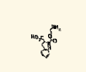 NCCOC(=O)NC(Cc1ccccc1)C(=O)O